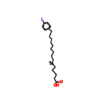 O=C(O)CCCC[Te]CCCCCCCCCc1ccc(I)cc1